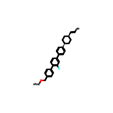 CCC/C=C/[C@H]1CC[C@H](c2ccc(-c3ccc(-c4ccc(COCCCCC)cc4)c(F)c3)cc2)CC1